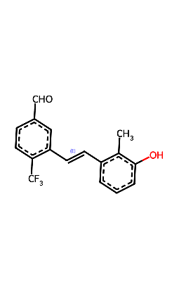 Cc1c(O)cccc1/C=C/c1cc(C=O)ccc1C(F)(F)F